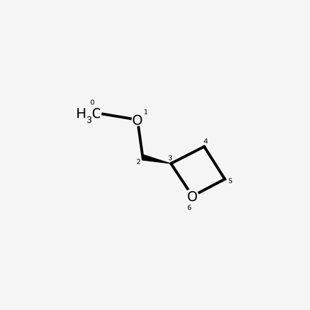 COC[C@H]1CCO1